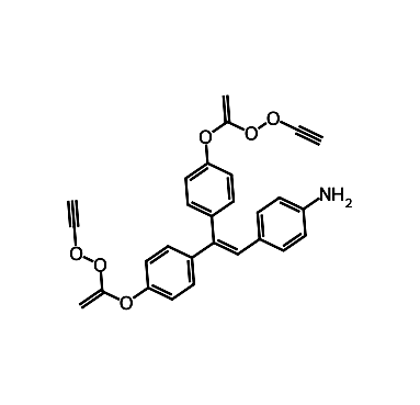 C#COOC(=C)Oc1ccc(C(=Cc2ccc(N)cc2)c2ccc(OC(=C)OOC#C)cc2)cc1